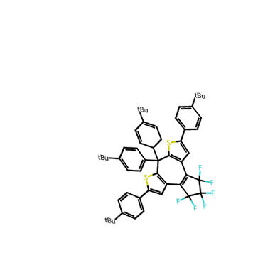 CC(C)(C)C1=CCC(C2(c3ccc(C(C)(C)C)cc3)c3sc(-c4ccc(C(C)(C)C)cc4)cc3C3=C(c4cc(-c5ccc(C(C)(C)C)cc5)sc42)C(F)(F)C(F)(F)C3(F)F)C=C1